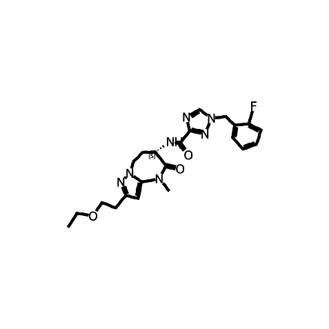 CCOCCc1cc2n(n1)CC[C@H](NC(=O)c1ncn(Cc3ccccc3F)n1)C(=O)N2C